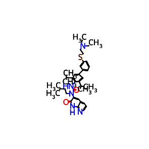 CCN(CC)CCSc1cccc(-c2cc(C(C)C)c(NC(=O)N(CCC(C)C)c3cc4cccnc4[nH]c3=O)c(C(C)C)c2)c1